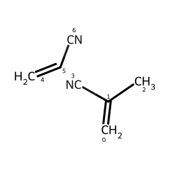 C=C(C)C#N.C=CC#N